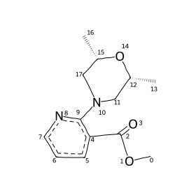 COC(=O)c1cccnc1N1C[C@@H](C)O[C@@H](C)C1